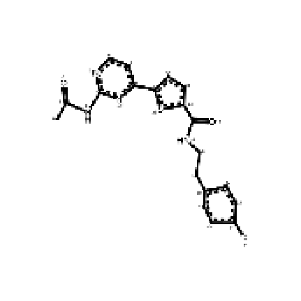 CC(=O)Nc1nccc(-c2ccc(C(=O)NCCc3ccc(F)cc3)s2)n1